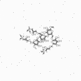 CO[C@H]1O[C@@H](CO[C@H]2O[C@@H](COCC(O)C[N+](C)(C)C)[C@H](O)C(O)C2O)[C@@H](O[C@@H]2OC(COCC(O)C[N+](C)(C)C)[C@@H](O[C@H]3O[C@@H](COCC(O)C[N+](C)(C)C)[C@@H](OC)C(O)C3O)[C@@H](O)C2O)C(O)C1O